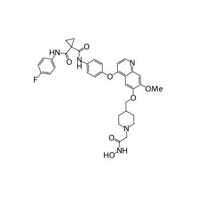 COc1cc2nccc(Oc3ccc(NC(=O)C4(C(=O)Nc5ccc(F)cc5)CC4)cc3)c2cc1OCC1CCN(CC(=O)NO)CC1